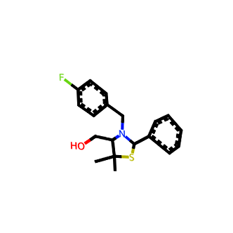 CC1(C)SC(c2ccccc2)N(Cc2ccc(F)cc2)C1CO